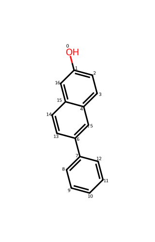 Oc1ccc2[c]c(-c3ccccc3)ccc2c1